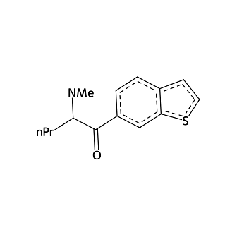 CCCC(NC)C(=O)c1ccc2ccsc2c1